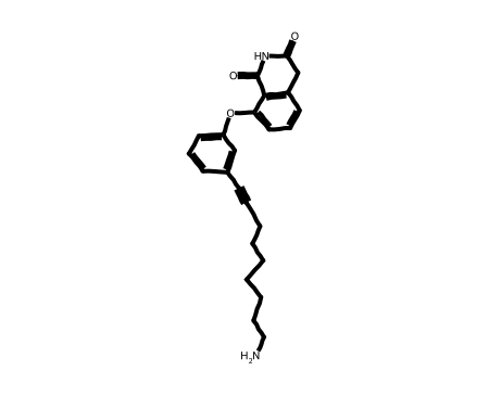 NCCCCCCCC#Cc1cccc(Oc2cccc3c2C(=O)NC(=O)C3)c1